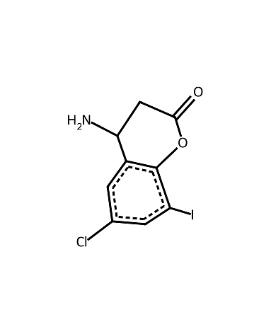 NC1CC(=O)Oc2c(I)cc(Cl)cc21